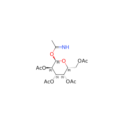 CC(=N)O[C@H]1O[C@H](COC(C)=O)[C@H](OC(C)=O)[C@H](OC(C)=O)[C@H]1OC(C)=O